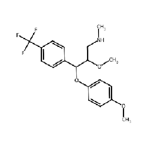 CNCC(OC)C(Oc1ccc(OC)cc1)c1ccc(C(F)(F)F)cc1